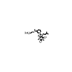 CC(C)=CCn1c(N2CCCC(N(C)CCCO)C2)nc2c1c(=O)n(C)c(=O)n2C